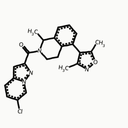 Cc1noc(C)c1-c1cccc2c1CCN(C(=O)c1cc3ccc(Cl)cn3n1)C2C